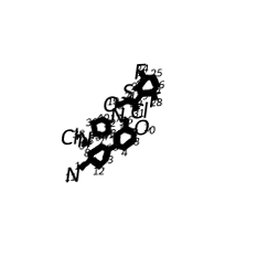 COc1ccc(-c2ccc(C#N)cc2)cc1CN(C(=O)c1sc2c(F)ccc(F)c2c1Cl)[C@H]1CC[C@H](N(C)Cl)CC1